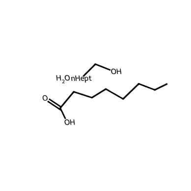 CCCCCCCC(=O)O.CCCCCCCCO.O